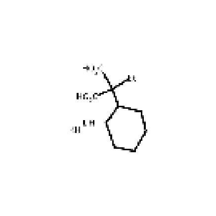 CCC(C(=O)O)(C(=O)O)C1CCCCC1.[KH].[LiH]